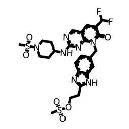 CS(=O)(=O)OCCc1nc2ccc(Cn3c(=O)c(C(F)F)cc4cnc(NC5CCN(S(C)(=O)=O)CC5)nc43)cc2[nH]1